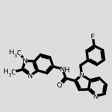 Cc1nc2cc(NC(=O)c3cc4ncccc4n3Cc3cccc(F)c3)ccc2n1C